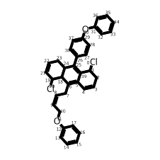 ClC1CC=CC2=C(C/C=C\COc3ccccc3)C3C(Cl)C=CCC3C(c3ccc(Oc4ccccc4)cc3)=C21